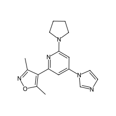 Cc1noc(C)c1-c1cc(-n2ccnc2)cc(N2CCCC2)n1